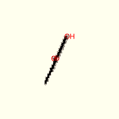 CCCCCCCCCCCCCCCC(=O)OCCCCCCCCCCCCCO